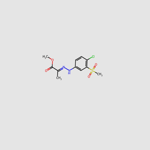 COC(=O)/C(C)=N/Nc1ccc(Cl)c(S(C)(=O)=O)c1